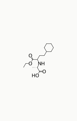 CCOC(=O)C(CCC1CCCCC1)N[C@@H](C)C(=O)O